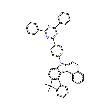 CC1(C)c2ccccc2-c2c1ccc1c2c2c3ccccc3ccc2n1-c1ccc(-c2cc(-c3ccccc3)nc(-c3ccccc3)n2)cc1